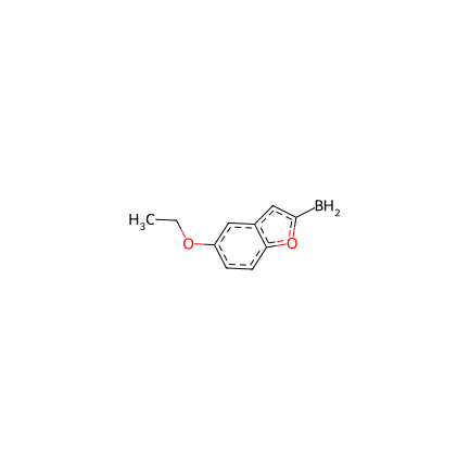 Bc1cc2cc(OCC)ccc2o1